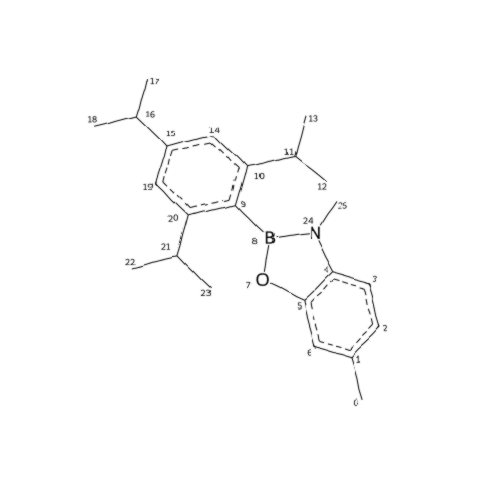 Cc1ccc2c(c1)OB(c1c(C(C)C)cc(C(C)C)cc1C(C)C)N2C